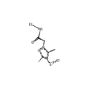 CCNC(=O)Cn1nc(C)c(C=O)c1C